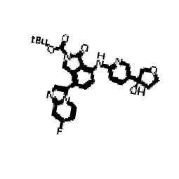 CC(C)(C)OC(=O)N1Cc2c(-c3cnc4cc(F)ccn34)ccc(Nc3ccc([C@@]4(O)CCOC4)cn3)c2C1=O